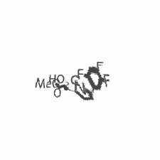 COC(=O)C=C[C@H]1CC[C@@H](c2cc(F)c(F)cc2F)N1C(=O)O